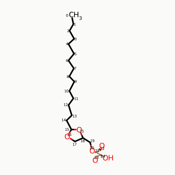 CCCCCCCCCCCCCCCC1OCC(COS(=O)(=O)O)O1